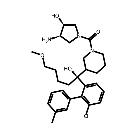 COCCCC[C@@](O)(c1cccc(Cl)c1-c1cccc(C)c1)C1CCCN(C(=O)N2C[C@@H](N)[C@@H](O)C2)C1